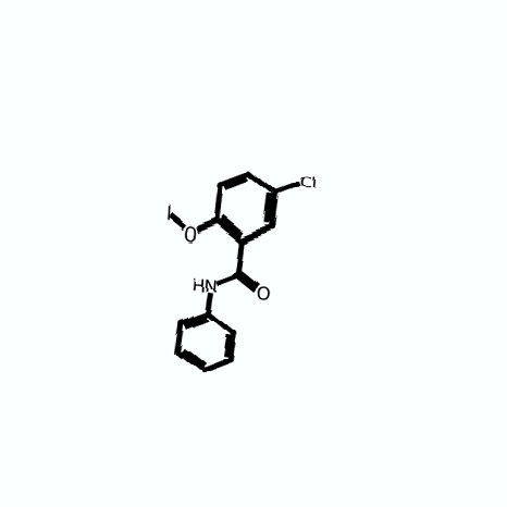 O=C(Nc1ccccc1)c1cc(Cl)ccc1OI